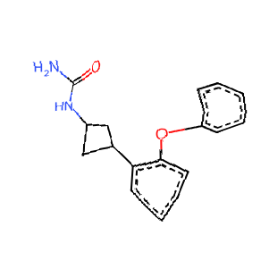 NC(=O)NC1CC(c2ccccc2Oc2ccccc2)C1